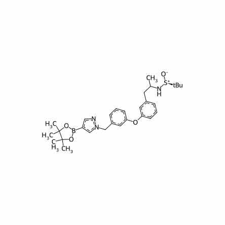 CC(Cc1cccc(Oc2cccc(Cn3cc(B4OC(C)(C)C(C)(C)O4)cn3)c2)c1)N[S@@+]([O-])C(C)(C)C